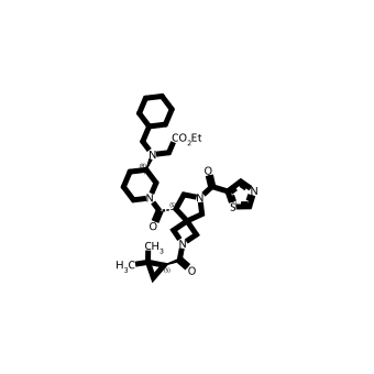 CCOC(=O)CN(CC1CCCCC1)[C@@H]1CCCN(C(=O)[C@@H]2CN(C(=O)c3cncs3)CC23CN(C(=O)[C@H]2CC2(C)C)C3)C1